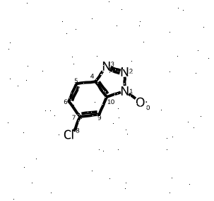 [O]n1nnc2ccc(Cl)cc21